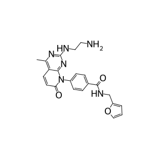 Cc1nc(NCCN)nc2c1ccc(=O)n2-c1ccc(C(=O)NCc2ccco2)cc1